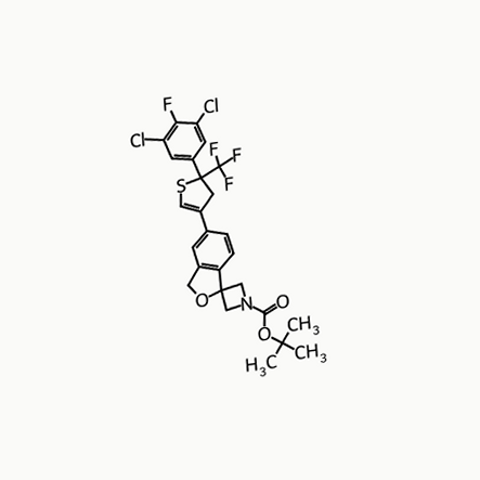 CC(C)(C)OC(=O)N1CC2(C1)OCc1cc(C3=CSC(c4cc(Cl)c(F)c(Cl)c4)(C(F)(F)F)C3)ccc12